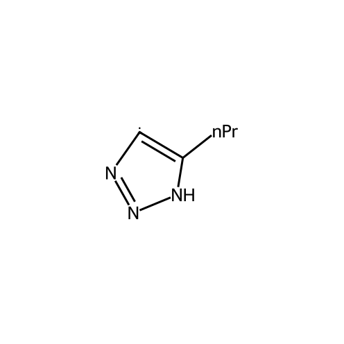 CCCc1[c]nn[nH]1